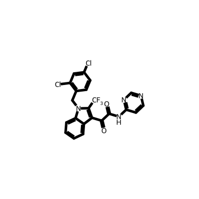 O=C(Nc1ccncn1)C(=O)c1c(C(F)(F)F)n(Cc2ccc(Cl)cc2Cl)c2ccccc12